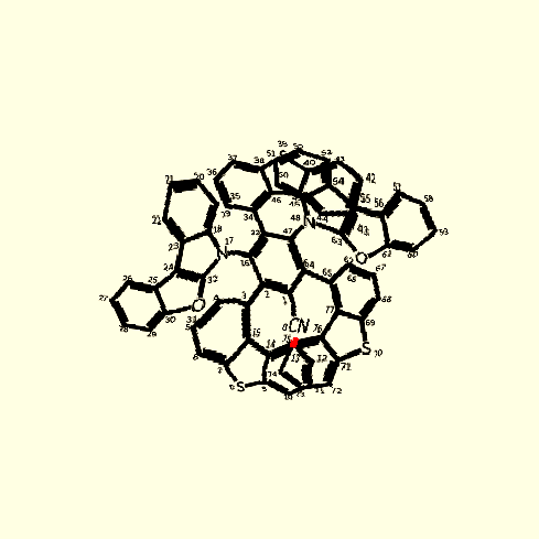 N#Cc1c(-c2cccc3sc4ccccc4c23)c(-n2c3ccccc3c3c4ccccc4oc32)c(-c2cccc3sc4ccccc4c23)c(-n2c3ccccc3c3c4ccccc4oc32)c1-c1cccc2sc3ccccc3c12